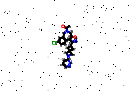 CC(=O)N1Cc2cc(Cl)ccc2-c2c(C3CC4(C3)CN(c3cccnn3)C4)noc2C1